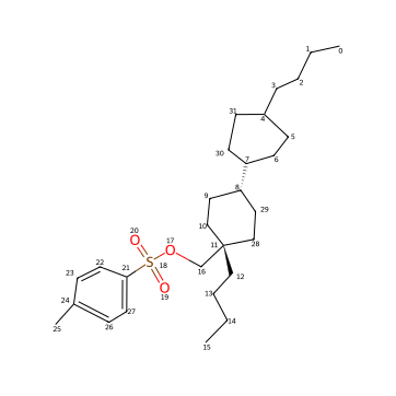 CCCCC1CCC([C@H]2CC[C@@](CCCC)(COS(=O)(=O)c3ccc(C)cc3)CC2)CC1